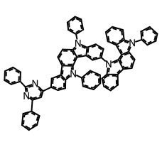 c1ccc(-c2cc(-c3ccc4c(c3)c3ccc5c(c6cc(-n7c8ccccc8c8ccc9c(c%10ccccc%10n9-c9ccccc9)c87)ccc6n5-c5ccccc5)c3n4-c3ccccc3)nc(-c3ccccc3)n2)cc1